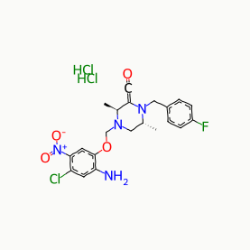 C[C@@H]1CN(COc2cc([N+](=O)[O-])c(Cl)cc2N)[C@@H](C)C(=C=O)N1Cc1ccc(F)cc1.Cl.Cl